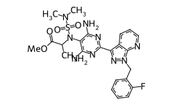 COC(=O)C(C)N(c1c(N)nc(-c2nn(Cc3ccccc3F)c3ncccc23)nc1N)S(=O)(=O)N(C)C